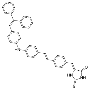 O=C1NC(=S)N/C1=C\c1ccc(/C=C/c2ccc(Nc3ccc(C=C(c4ccccc4)c4ccccc4)cc3)cc2)cc1